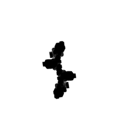 Cc1ccc(S(=O)(=O)NCCCN(C/C=C/CN(CCCNS(=O)(=O)c2ccc(C)cc2)S(=O)(=O)c2ccc(C)cc2)S(=O)(=O)c2ccc(C)cc2)cc1